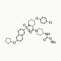 CC(C)(C)OC(=O)NC1CCN(C(=O)[C@@H]2C[C@@H](Oc3ccc(Cl)cc3)CCN2S(=O)(=O)c2ccc3cc(OC4CCCC4)ccc3c2)CC1